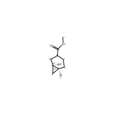 COC(=O)C1CC[C@H]2C[C@H]2C1